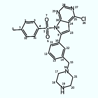 Cc1ccc(S(=O)(=O)n2c(-c3cccc(CN4CCNCC4)c3)cc3c(Cl)ncnc32)cc1